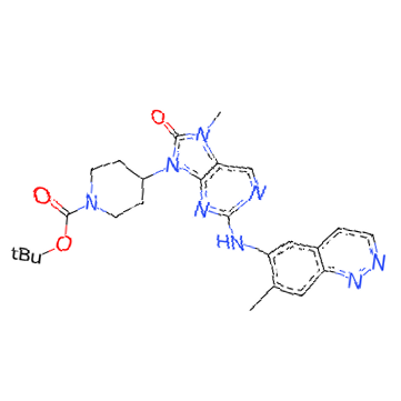 Cc1cc2nnccc2cc1Nc1ncc2c(n1)n(C1CCN(C(=O)OC(C)(C)C)CC1)c(=O)n2C